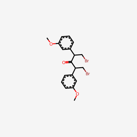 COc1cccc(C(CBr)C(=O)C(CBr)c2cccc(OC)c2)c1